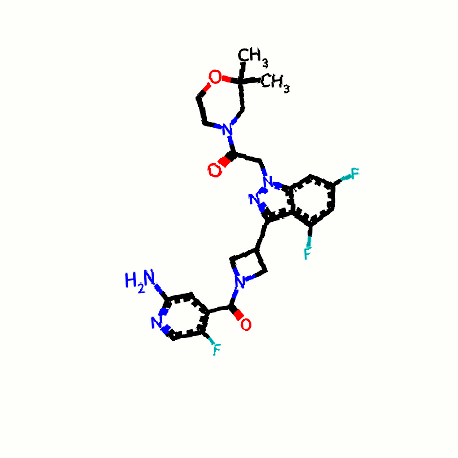 CC1(C)CN(C(=O)Cn2nc(C3CN(C(=O)c4cc(N)ncc4F)C3)c3c(F)cc(F)cc32)CCO1